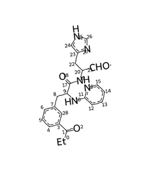 CCC(=O)c1cccc(CC(Nc2ccccn2)C(=O)NC([C]=O)Cc2c[nH]cn2)c1